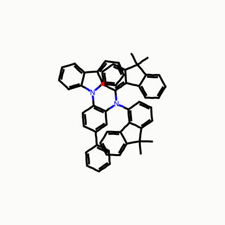 CC1(C)c2ccccc2-c2c(N(c3cc(-c4ccccc4)ccc3-n3c4ccccc4c4ccccc43)c3cccc4c3-c3ccccc3C4(C)C)cccc21